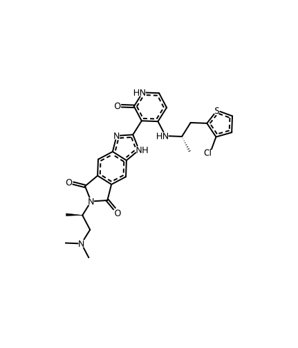 C[C@H](CN(C)C)N1C(=O)c2cc3nc(-c4c(N[C@@H](C)Cc5sccc5Cl)cc[nH]c4=O)[nH]c3cc2C1=O